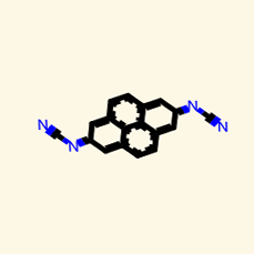 N#CN=C1C=c2ccc3c4c(ccc(c24)=C1)=CC(=NC#N)C=3